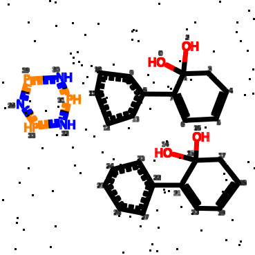 OC1(O)CC=CC=C1c1ccccc1.OC1(O)CC=CC=C1c1ccccc1.n1p[nH][pH][nH][pH]1